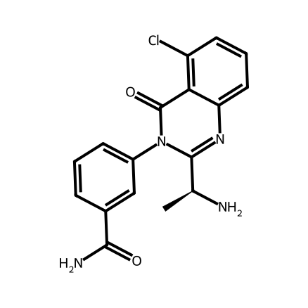 C[C@H](N)c1nc2cccc(Cl)c2c(=O)n1-c1cccc(C(N)=O)c1